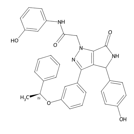 C[C@H](Oc1cccc(-c2nn(CC(=O)Nc3cccc(O)c3)c3c2C(c2ccc(O)cc2)NC3=O)c1)c1ccccc1